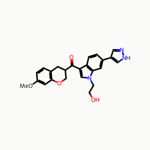 COc1ccc2c(c1)OCC(C(=O)c1cn(CCO)c3cc(-c4cn[nH]c4)ccc13)C2